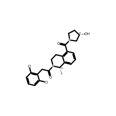 C[C@H]1c2cccc(C(=O)N3CC[C@H](O)C3)c2CCN1C(=O)Cc1c(Cl)cccc1Cl